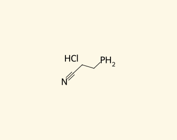 Cl.N#CCCP